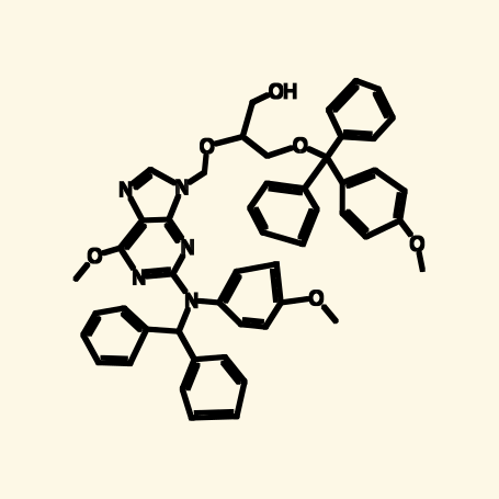 COc1ccc(N(c2nc(OC)c3ncn(COC(CO)COC(c4ccccc4)(c4ccccc4)c4ccc(OC)cc4)c3n2)C(c2ccccc2)c2ccccc2)cc1